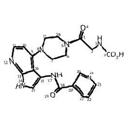 O=C(O)NCC(=O)N1CCN(c2ccnc3[nH]cc(NC(=O)c4cccnc4)c23)CC1